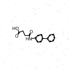 O=C(O)CCC(=O)Nc1ccc(-c2cc[c]cc2)cc1